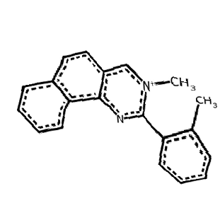 Cc1ccccc1-c1nc2c(ccc3ccccc32)c[n+]1C